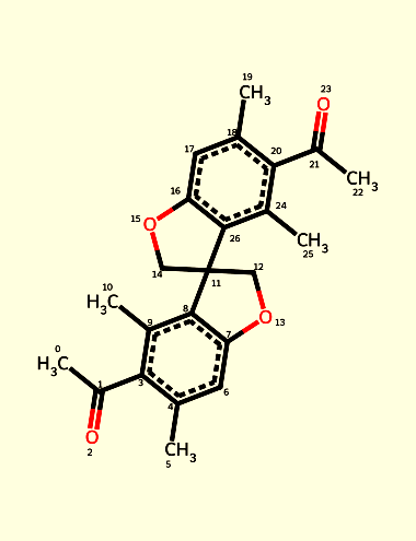 CC(=O)c1c(C)cc2c(c1C)C1(CO2)COc2cc(C)c(C(C)=O)c(C)c21